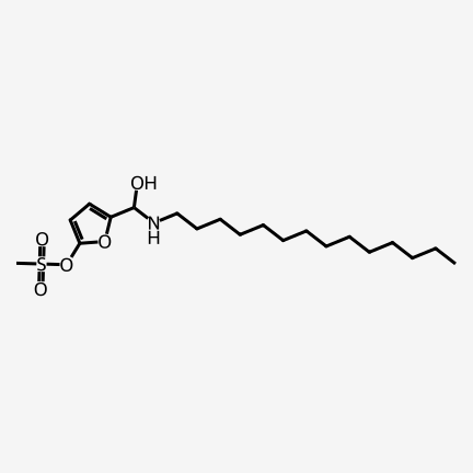 CCCCCCCCCCCCCCNC(O)c1ccc(OS(C)(=O)=O)o1